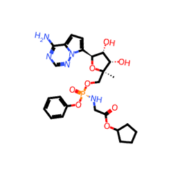 C[C@]1(CO[P@@](=O)(NCC(=O)OC2CCCC2)Oc2ccccc2)O[C@@H](c2ccc3c(N)ncnn23)[C@H](O)[C@@H]1O